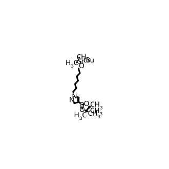 CC1(C)OB(c2cnn(CCCCCCCO[Si](C)(C)C(C)(C)C)c2)OC1(C)C